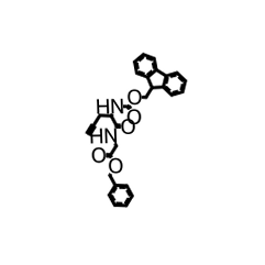 C#CCC(NC(=O)OCC1c2ccccc2-c2ccccc21)C(=O)NCC(=O)OCc1ccccc1